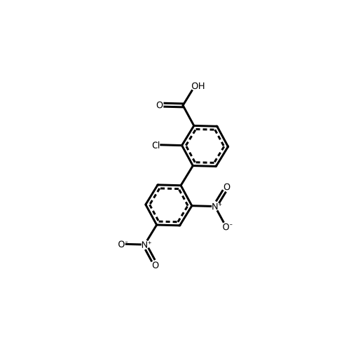 O=C(O)c1cccc(-c2ccc([N+](=O)[O-])cc2[N+](=O)[O-])c1Cl